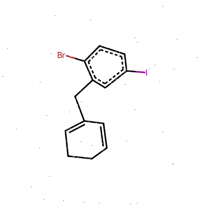 Brc1ccc(I)cc1CC1=CCCC=C1